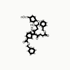 CCCCCCCCc1ccc(OCC(O)Cc2[nH]c3ccc(C(=O)OCc4ccccc4)cc3c2C(=O)CCC(=O)OCc2ccccc2)cc1